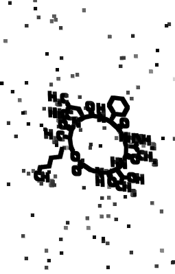 CCCCCC[C@H]1OC(=O)CNC(=O)[C@H]([C@H](C)O)NC(=O)[C@H](C(C)N)NC(=O)[C@H](C2CCCCC2)NC(=O)[C@H](CC(C)C)N(C)C(=O)[C@@H]1C